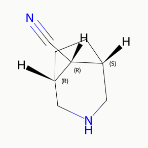 N#C[C@@H]1[C@@H]2CC[C@H]1CNC2